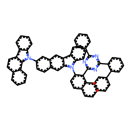 c1ccc(-c2nc(-c3ccccc3-c3ccccc3)nc(-c3c(-n4c5ccccc5c5cc6cc(-n7c8ccccc8c8ccc9ccccc9c87)ccc6cc54)ccc4ccccc34)n2)cc1